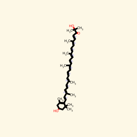 CC1=C(/C=C/C(C)=C/C=C/C(C)=C/C=C/C=C(C)/C=C/C=C(C)/C=C/C=C(C)/C=C/C(=O)C(C)(C)O)C(C)(C)CC(O)C1